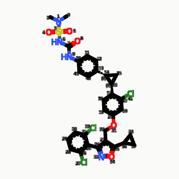 CN(C)S(=O)(=O)NC(=O)Nc1ccc([C@@H]2C[C@H]2c2ccc(OCc3c(-c4c(Cl)cccc4Cl)noc3C3CC3)cc2Cl)cc1